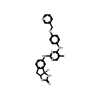 Cc1cnc(Nc2ccc3c(c2)[C@@H]2NC(=O)OC2C3)nc1Nc1ccc(OCc2cccnc2)cc1